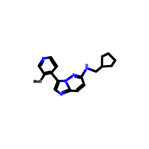 COc1cnccc1-c1cnc2ccc(NCC3CCCC3)nn12